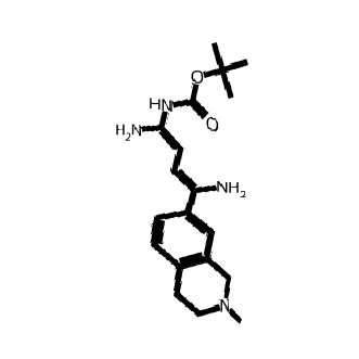 CN1CCc2ccc(/C(N)=C/C=C(\N)NC(=O)OC(C)(C)C)cc2C1